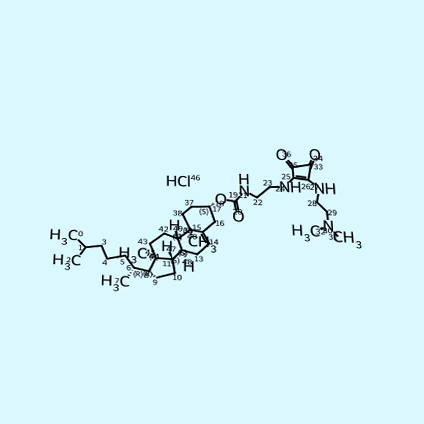 CC(C)CCC[C@@H](C)[C@H]1CC[C@H]2[C@@H]3CC=C4C[C@@H](OC(=O)NCCNc5c(NCCN(C)C)c(=O)c5=O)CC[C@]4(C)[C@H]3CC[C@]12C.Cl